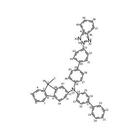 CC1(C)c2ccccc2-c2ccc(N(c3ccc(-c4ccccc4)cc3)c3ccc(-c4ccc(-n5nc6ccccc6n5)cc4)cc3)cc21